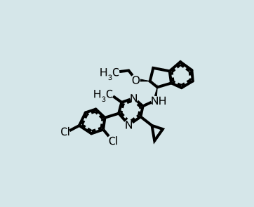 CCO[C@H]1Cc2ccccc2[C@H]1Nc1nc(C)c(-c2ccc(Cl)cc2Cl)nc1C1CC1